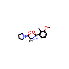 COc1cccc(C(=O)N[C@@H](C)C(=O)N2CCCC2)c1C